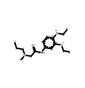 CCCN(C)CC(=O)Nc1ccc(OCC)c(OCC)c1